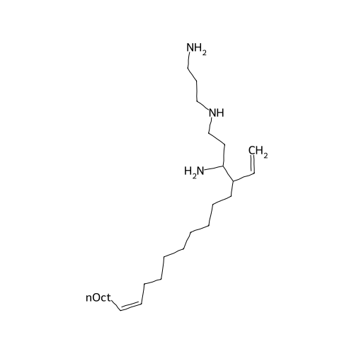 C=CC(CCCCCCCC/C=C\CCCCCCCC)C(N)CCNCCCN